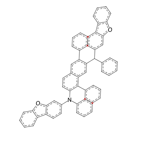 c1ccc(-c2cc3ccc(N(c4ccccc4)c4ccc5c(c4)oc4ccccc45)c(-c4ccccc4)c3cc2C(c2ccccc2)c2ccc3c(c2)oc2ccccc23)cc1